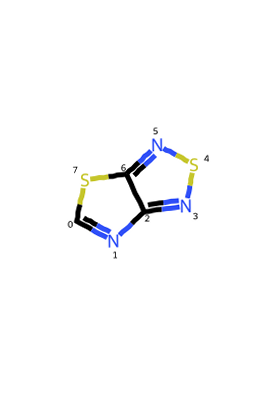 c1nc2nsnc2s1